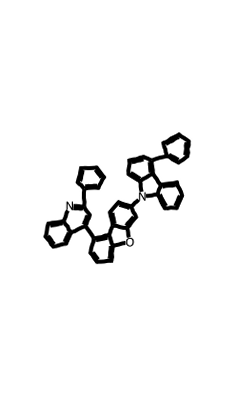 c1ccc(-c2cc(-c3cccc4oc5cc(-n6c7ccccc7c7c(-c8ccccc8)cccc76)ccc5c34)c3ccccc3n2)cc1